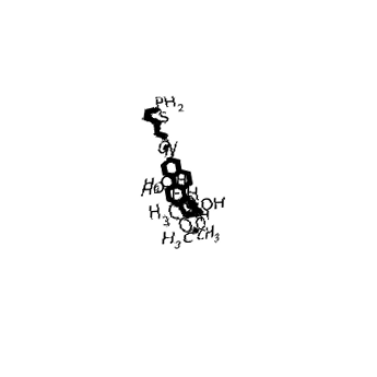 CC1(C)O[C@@H]2C[C@H]3[C@@H]4CCC5=C/C(=N/OCCc6ccc(P)s6)C=C[C@]5(C)[C@@]4(F)[C@@H](O)C[C@]3(C)[C@]2(C(=O)CO)O1